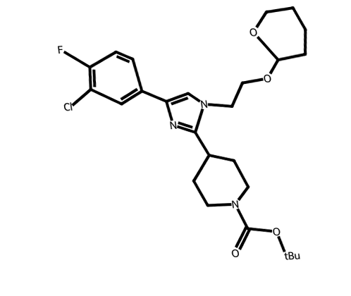 CC(C)(C)OC(=O)N1CCC(c2nc(-c3ccc(F)c(Cl)c3)cn2CCOC2CCCCO2)CC1